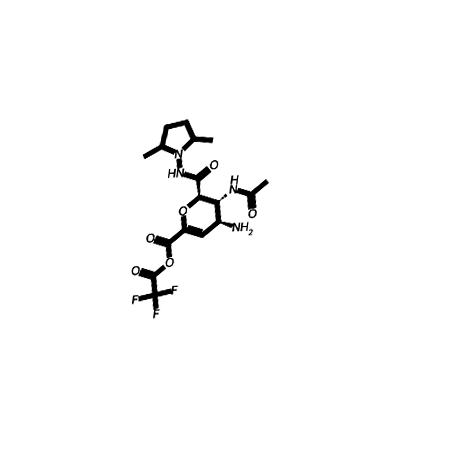 CC(=O)N[C@@H]1[C@@H](N)C=C(C(=O)OC(=O)C(F)(F)F)O[C@H]1C(=O)NN1C(C)CCC1C